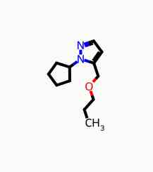 CCCOCc1ccnn1C1CCCC1